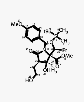 COC(=O)[C@]1([C@@H](O[Si](C)(C)C(C)(C)C)C(C)C)N(Cc2ccc(OC)cc2)C(=O)[C@H](CCO)[C@]1(C)O